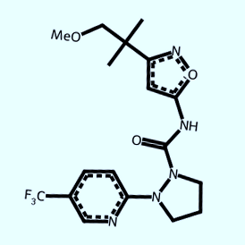 COCC(C)(C)c1cc(NC(=O)N2CCCN2c2ccc(C(F)(F)F)cn2)on1